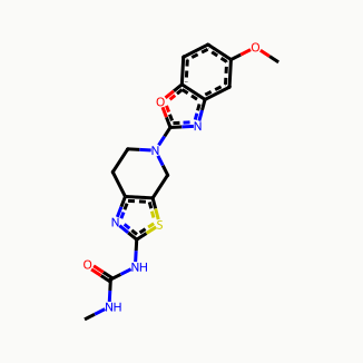 CNC(=O)Nc1nc2c(s1)CN(c1nc3cc(OC)ccc3o1)CC2